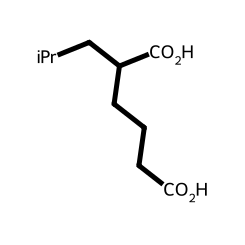 CC(C)CC(CCCC(=O)O)C(=O)O